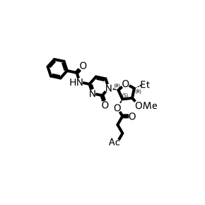 CC[C@H]1O[C@@H](n2ccc(NC(=O)c3ccccc3)nc2=O)[C@@H](OC(=O)CCC(C)=O)C1OC